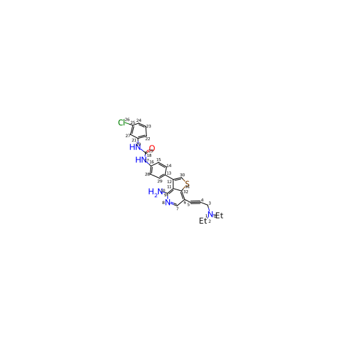 CCN(CC)CC#Cc1cnc(N)c2c(-c3ccc(NC(=O)Nc4cccc(Cl)c4)cc3)csc12